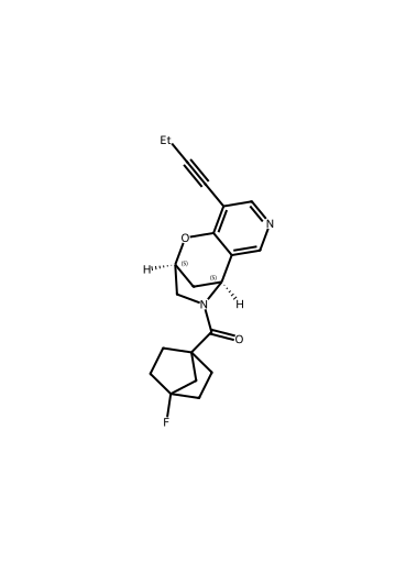 CCC#Cc1cncc2c1O[C@H]1C[C@@H]2N(C(=O)C23CCC(F)(CC2)C3)C1